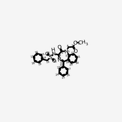 COC(=O)CN1C(=O)C(NS(=O)(=O)Cc2ccccc2)N=C(c2ccccc2)c2ccccc21